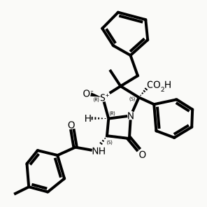 Cc1ccc(C(=O)N[C@H]2C(=O)N3[C@@H]2[S@@+]([O-])C(C)(Cc2ccccc2)[C@@]3(C(=O)O)c2ccccc2)cc1